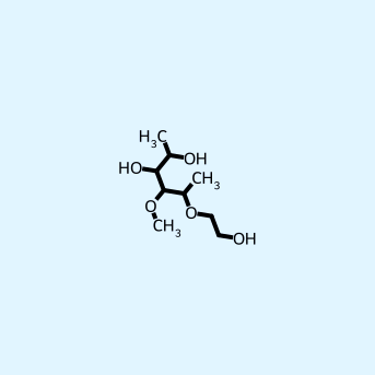 COC(C(C)OCCO)C(O)C(C)O